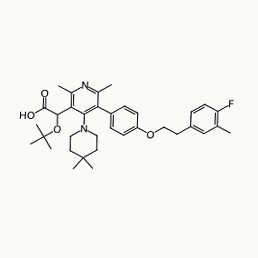 Cc1cc(CCOc2ccc(-c3c(C)nc(C)c(C(OC(C)(C)C)C(=O)O)c3N3CCC(C)(C)CC3)cc2)ccc1F